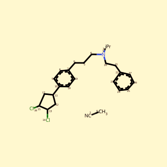 CC#N.CC(C)N(CCCc1ccc(C2CC(Cl)C(Cl)C2)cc1)CCc1ccccc1